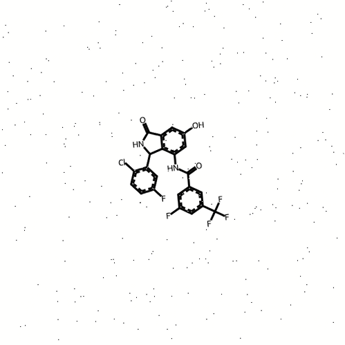 O=C(Nc1cc(O)cc2c1C(c1cc(F)ccc1Cl)NC2=O)c1cc(F)cc(C(F)(F)F)c1